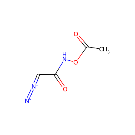 CC(=O)ONC(=O)C=[N+]=[N-]